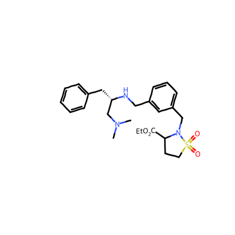 CCOC(=O)C1CCS(=O)(=O)N1Cc1cccc(CN[C@@H](Cc2ccccc2)CN(C)C)c1